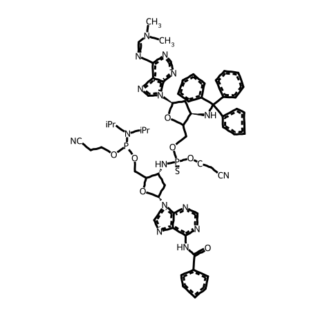 CC(C)N(C(C)C)P(OCCC#N)OCC1O[C@@H](n2cnc3c(NC(=O)c4ccccc4)ncnc32)C[C@H]1NP(=S)(OCCC#N)OCC1O[C@@H](n2cnc3c(/N=C\N(C)C)ncnc32)C[C@H]1NC(c1ccccc1)(c1ccccc1)c1ccccc1